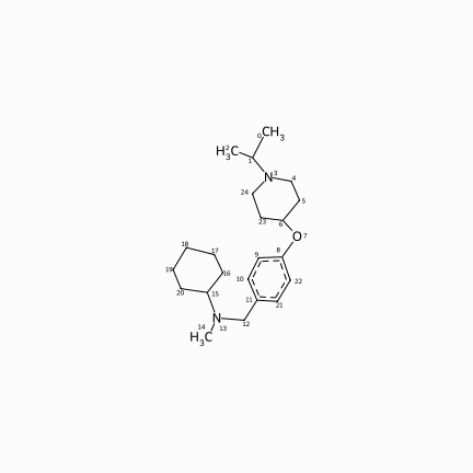 CC(C)N1CCC(Oc2ccc(CN(C)C3CCCCC3)cc2)CC1